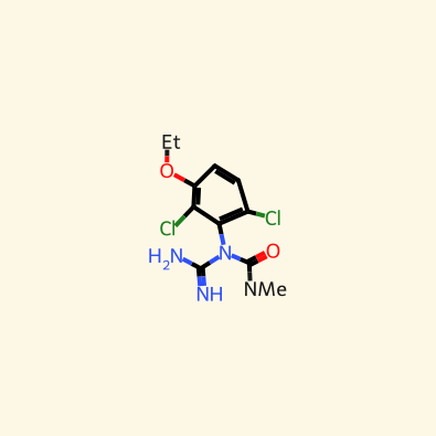 CCOc1ccc(Cl)c(N(C(=N)N)C(=O)NC)c1Cl